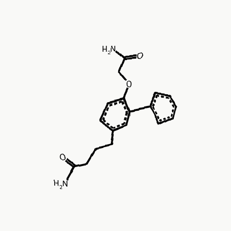 NC(=O)CCCc1ccc(OCC(N)=O)c(-c2ccccc2)c1